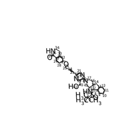 CC(C)(C)[S+]([O-])N[C@@H]1c2ccccc2CC12CCN(c1ncc(C#CCOc3ccc4c(c3)CCNC4=O)nc1CO)CC2